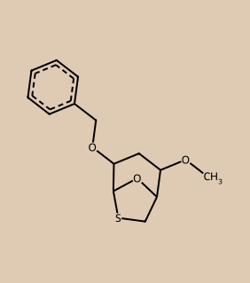 COC1CC(OCc2ccccc2)C2OC1CS2